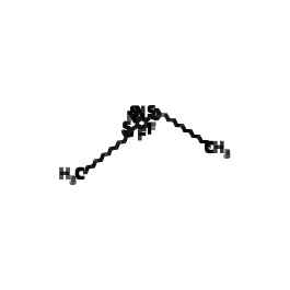 CCCCCCCCCCCCc1csc(-c2c(F)c(F)c(-c3cc(CCCCCCCCCCCC)cs3)c3nsnc23)c1